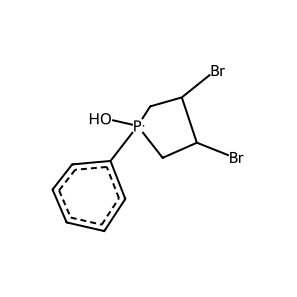 O[P]1(c2ccccc2)CC(Br)C(Br)C1